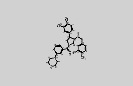 CN(Cc1ccc(C(F)(F)F)c(F)c1)C1CN(C(=O)c2ccnc(N3CCOCC3)c2)CC1c1ccc(Cl)c(Cl)c1